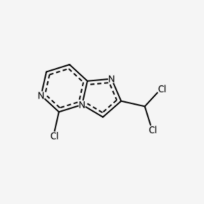 Clc1nccc2nc(C(Cl)Cl)cn12